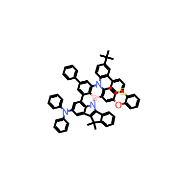 CC(C)(C)c1ccc(N2c3cc4c(cc3B3c5c(cc(-c6ccccc6)cc52)-c2cc(N(c5ccccc5)c5ccccc5)cc5c6c(n3c25)-c2ccccc2C6(C)C)Oc2ccccc2S4)c(-c2ccccc2)c1